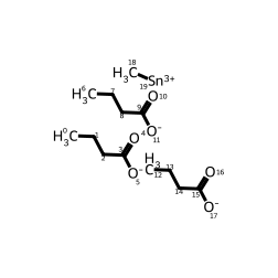 CCCC(=O)[O-].CCCC(=O)[O-].CCCC(=O)[O-].[CH3][Sn+3]